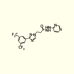 O=C(CCn1cnc(-c2cc(C(F)(F)F)cc(C(F)(F)F)c2)n1)NNc1ccncn1